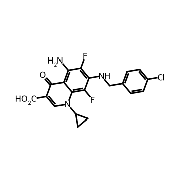 Nc1c(F)c(NCc2ccc(Cl)cc2)c(F)c2c1c(=O)c(C(=O)O)cn2C1CC1